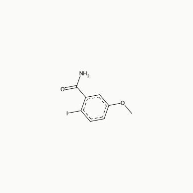 COc1ccc(I)c(C(N)=O)c1